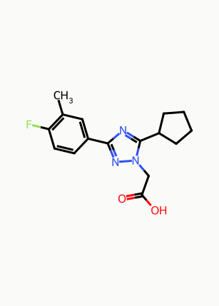 Cc1cc(-c2nc(C3CCCC3)n(CC(=O)O)n2)ccc1F